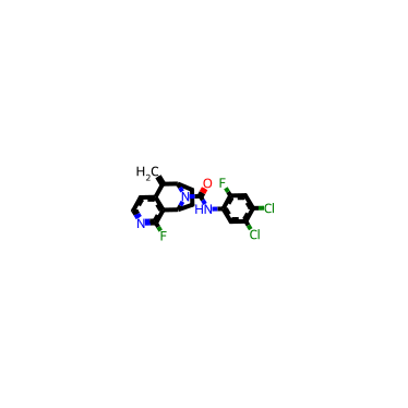 C=C1c2ccnc(F)c2C2CCC1N2C(=O)Nc1cc(Cl)c(Cl)cc1F